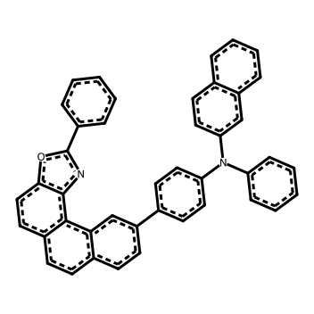 c1ccc(-c2nc3c(ccc4ccc5ccc(-c6ccc(N(c7ccccc7)c7ccc8ccccc8c7)cc6)cc5c43)o2)cc1